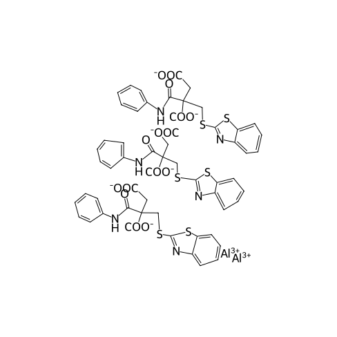 O=C([O-])CC(CSc1nc2ccccc2s1)(C(=O)[O-])C(=O)Nc1ccccc1.O=C([O-])CC(CSc1nc2ccccc2s1)(C(=O)[O-])C(=O)Nc1ccccc1.O=C([O-])CC(CSc1nc2ccccc2s1)(C(=O)[O-])C(=O)Nc1ccccc1.[Al+3].[Al+3]